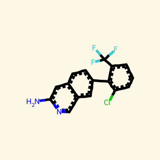 Nc1cc2ccc(-c3c(Cl)cccc3C(F)(F)F)cc2cn1